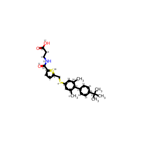 Cc1cc(SCc2ccc(C(=O)NCCC(=O)O)s2)cc(C)c1-c1ccc(C(C)(C)C)cc1